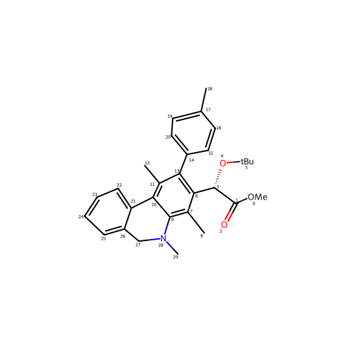 COC(=O)[C@@H](OC(C)(C)C)c1c(C)c2c(c(C)c1-c1ccc(C)cc1)-c1ccccc1CN2C